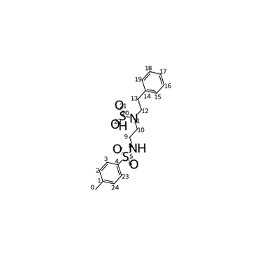 Cc1ccc(S(=O)(=O)NCCN(CCc2ccccc2)[SH](=O)=O)cc1